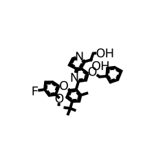 COc1cc(F)ccc1Oc1cc(C(C)(C)C)cc(C)c1-c1cc(OCc2ccccc2)c2c(C(O)CO)nccc2n1